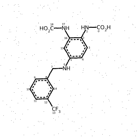 O=C(O)Nc1ccc(NCc2cccc(C(F)(F)F)c2)cc1NC(=O)O